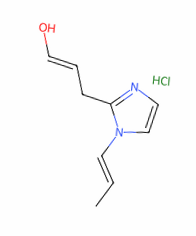 CC=Cn1ccnc1CC=CO.Cl